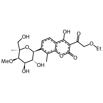 CCOCC(=O)c1c(O)c2ccc([C@@H]3O[C@](C)(CO)[C@H](OC)[C@H](O)[C@H]3O)c(C)c2oc1=O